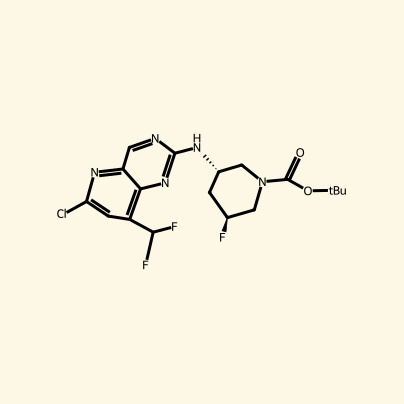 CC(C)(C)OC(=O)N1C[C@@H](F)C[C@H](Nc2ncc3nc(Cl)cc(C(F)F)c3n2)C1